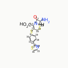 N[C@@H]1C(=O)N2C(C(=O)O)=C(Sc3ccc(-c4nccs4)cc3)CS[C@@H]12